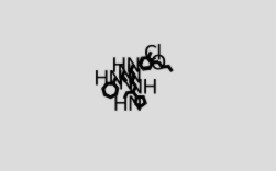 CCCOc1ccc(Nc2nc(NC3CCCCCC3)nc(NC(CC)C3CCCN3)n2)cc1Cl